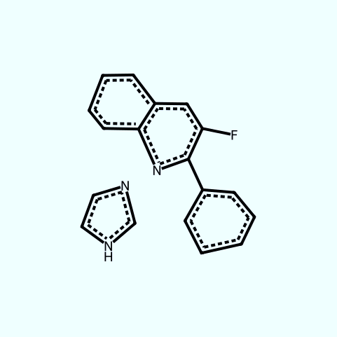 Fc1cc2ccccc2nc1-c1ccccc1.c1c[nH]cn1